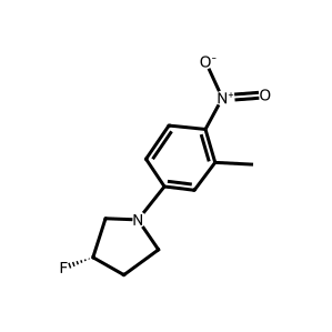 Cc1cc(N2CC[C@H](F)C2)ccc1[N+](=O)[O-]